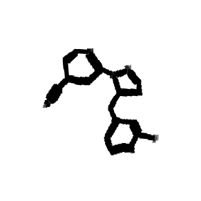 N#Cc1ccnc(-n2nccc2Cc2cccc(F)c2)c1